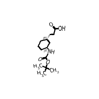 CC(C)(C)OC(=O)N[C@H]1CCC[C@H](CCC(=O)O)C1